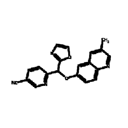 Cc1cnc2ccc(OC(c3ccc(C#N)cn3)c3ncco3)cc2c1